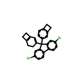 Brc1ccc2c(c1)C(C1=CC3=C(CC1)CC3)(c1ccc3c(c1)CC3)c1cc(Br)ccc1-2